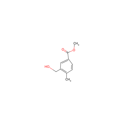 COC(=O)c1ccc(C)c(CO)c1